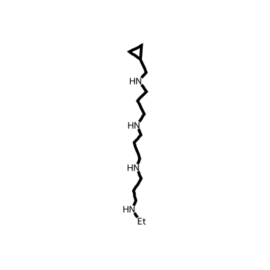 CCNCCCNCCCNCCCNCC1CC1